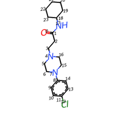 O=C(CCN1CCN(c2ccc(Cl)cc2)CC1)NC1CCCCC1